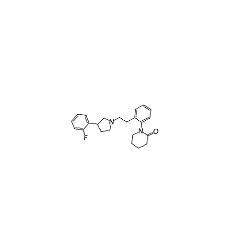 O=C1CCCCN1c1ccccc1CCN1CCC(c2ccccc2F)C1